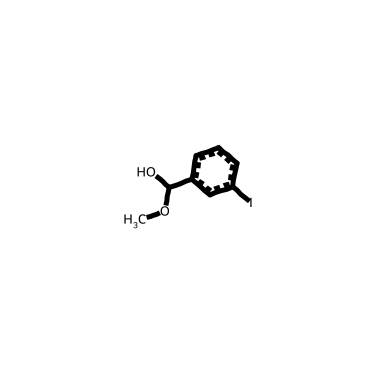 COC(O)c1cccc(I)c1